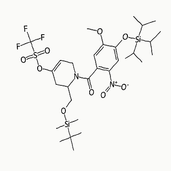 COc1cc(C(=O)N2CC=C(OS(=O)(=O)C(F)(F)F)CC2CO[Si](C)(C)C(C)(C)C)c([N+](=O)[O-])cc1O[Si](C(C)C)(C(C)C)C(C)C